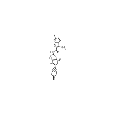 Cc1ccc2c(N)c(C(=O)N[C@H]3COc4c(F)c(N5CC6CNCC(C5)O6)cc(F)c4C3)sc2n1